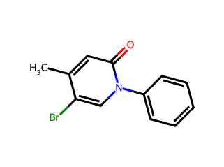 Cc1cc(=O)n(-c2ccccc2)cc1Br